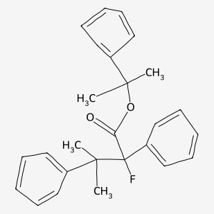 CC(C)(OC(=O)C(F)(c1ccccc1)C(C)(C)c1ccccc1)c1ccccc1